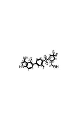 Cc1cc(-c2ccc3[nH]nc(N)c3c2C)ccc1S(=O)(=O)N1CC(F)(F)C[C@H]1CO